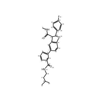 CNC(=O)C1c2cc(-c3cccc(C(=O)NCCC(C)C)c3)ccc2OC1c1ccc(F)cc1